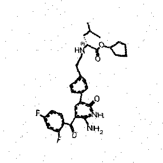 CC(C)C[C@@H](NCCc1ccc(-c2cc(C(=O)c3ccc(F)cc3F)c(N)[nH]c2=O)cc1)C(=O)OC1CCCC1